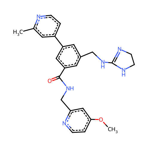 COc1ccnc(CNC(=O)c2cc(CNC3=NCCN3)cc(-c3ccnc(C)c3)c2)c1